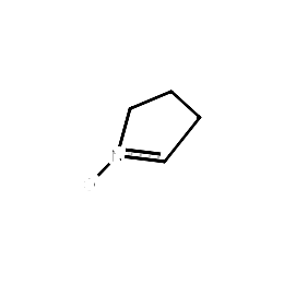 [O-][N+]1=CCCC1